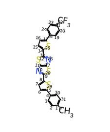 Cc1ccc(-c2ccc(-c3nc4sc(-c5ccc(-c6ccc(C(F)(F)F)cc6)s5)nc4s3)s2)cc1